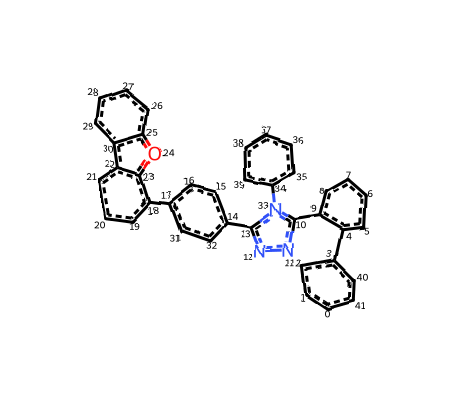 c1ccc(-c2ccccc2-c2nnc(-c3ccc(-c4cccc5c4oc4ccccc45)cc3)n2-c2ccccc2)cc1